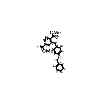 COC(=O)c1cc(Cc2ccc(OCc3ccccc3)cc2)c(C(=O)OC)nn1